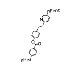 CCCCCCc1ccc(C(=O)Oc2ccc(CCc3ccc(CCCCC)cn3)cc2)cc1